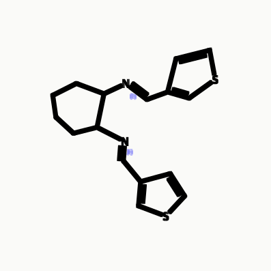 C(=N\C1CCCCC1/N=C/c1ccsc1)/c1ccsc1